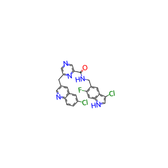 O=C(NCc1cc2c(Cl)c[nH]c2cc1F)c1cncc(Cc2cnc3ccc(Cl)cc3c2)n1